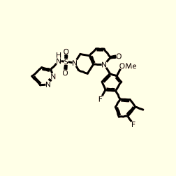 COc1cc(-c2ccc(F)c(C)c2)c(F)cc1-n1c2c(ccc1=O)CN(S(=O)(=O)Nc1cccnn1)CC2